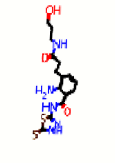 Nc1c(CCC(=O)NCCCO)cccc1C(=O)Nc1n[nH]c(=S)s1